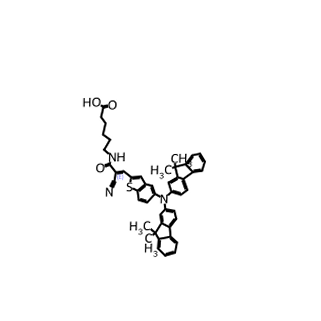 CC1(C)c2ccccc2-c2ccc(N(c3ccc4c(c3)C(C)(C)c3ccccc3-4)c3ccc4sc(/C=C(\C#N)C(=O)NCCCCCC(=O)O)cc4c3)cc21